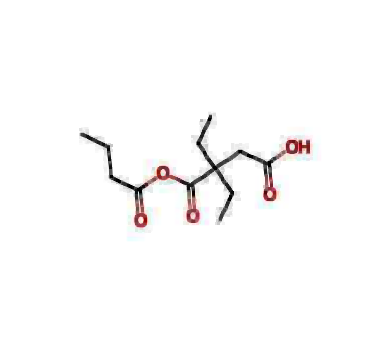 CCCC(=O)OC(=O)C(CC)(CC)CC(=O)O